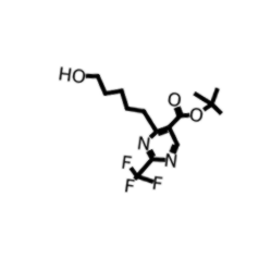 CC(C)(C)OC(=O)c1cnc(C(F)(F)F)nc1CCCCCO